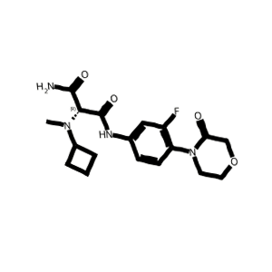 CN(C1CCC1)[C@H](C(N)=O)C(=O)Nc1ccc(N2CCOCC2=O)c(F)c1